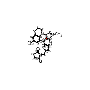 CN1CCC(N2CCCc3cc(Cl)cc(-c4ccnc5cc(CN6C(=O)CCC6=O)sc45)c32)C1